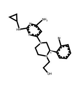 Nc1cc(N2CCN(CCO)[C@H](c3ccccc3Br)C2)nc(NC2CC2)n1